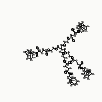 O=C(CCC(=O)OCCOCC(COCCOC(=O)CCC(=O)NCC12CC3CC(CC(C3)C1)C2)(COCCOC(=O)CCC(=O)NCC12CC3CC(CC(C3)C1)C2)COCCOC(=O)CCC(=O)NCC12CC3CC(CC(C3)C1)C2)NCC12CC3CC(CC(C3)C1)C2